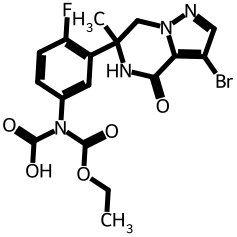 CCOC(=O)N(C(=O)O)c1ccc(F)c(C2(C)Cn3ncc(Br)c3C(=O)N2)c1